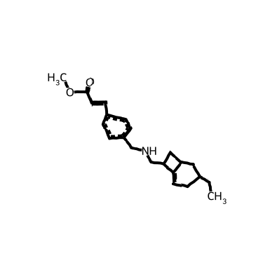 CCC1CC=C2C(CNCc3ccc(/C=C/C(=O)OC)cc3)CC2C1